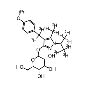 [2H]C([2H])([2H])c1c(C([2H])([2H])c2ccc(OC(C)C)cc2)c(O[C@@H]2O[C@H](CO)[C@@H](O)[C@H](O)[C@H]2O)nn1C(C([2H])([2H])[2H])C([2H])([2H])[2H]